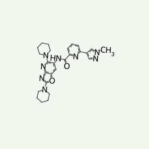 Cn1cc(-c2cccc(C(=O)Nc3cc4oc(N5CCCCC5)nc4nc3N3CCCCC3)n2)cn1